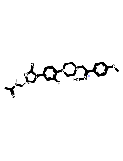 COc1ccc(/C(CN2CCN(c3ccc(N4C[C@H](CNC(C)=S)OC4=O)cc3F)CC2)=N/O)cc1